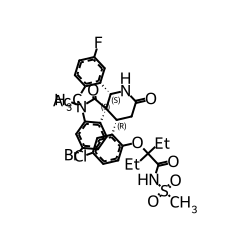 CCC(CC)(Oc1ccc(Cl)cc1[C@H]1CC(=O)N[C@@H](c2cc(F)ccc2C)[C@]12C(=O)N(C(C)=O)c1cc(Br)ccc12)C(=O)NS(C)(=O)=O